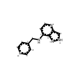 c1cc(CNc2ccnc3c[nH]nc23)ccn1